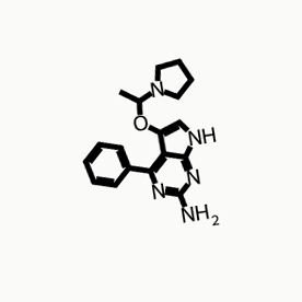 CC(Oc1c[nH]c2nc(N)nc(-c3ccccc3)c12)N1CCCC1